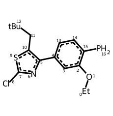 CCOc1cc(-c2nc(Cl)sc2CC(C)(C)C)ccc1P